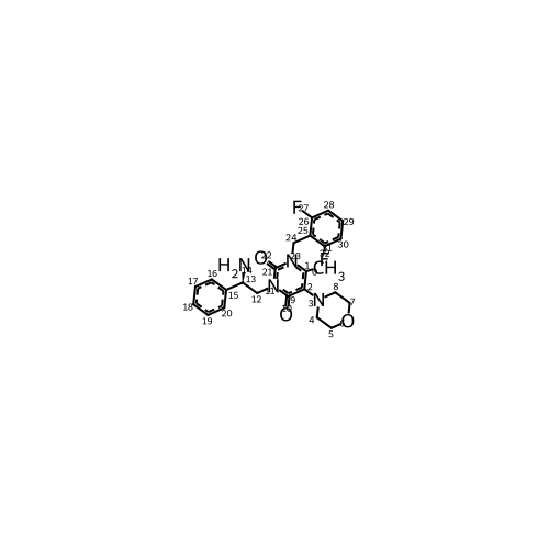 Cc1c(N2CCOCC2)c(=O)n(C[C@H](N)c2ccccc2)c(=O)n1Cc1c(F)cccc1F